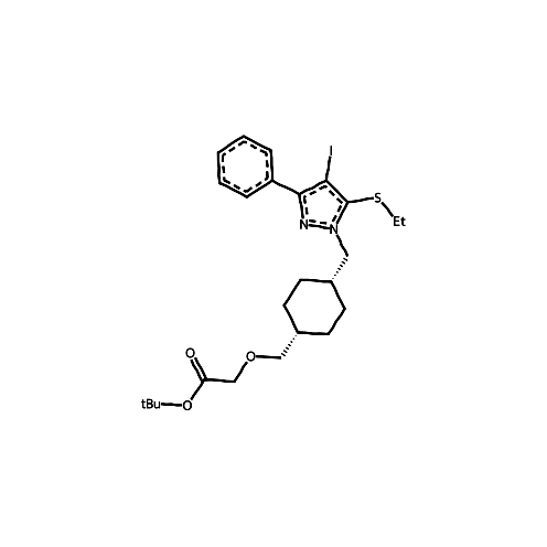 CCSc1c(I)c(-c2ccccc2)nn1C[C@H]1CC[C@@H](COCC(=O)OC(C)(C)C)CC1